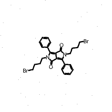 O=C1C2=C(c3ccccc3)N(CCCCBr)C(=O)C2=C(c2ccccc2)N1CCCCBr